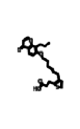 CCCc1c(OCCCCCCc2ccsc2CCC(=O)O)ccc2c1OCCC2=O